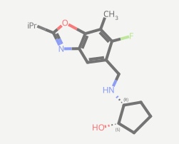 Cc1c(F)c(CN[C@@H]2CCC[C@@H]2O)cc2nc(C(C)C)oc12